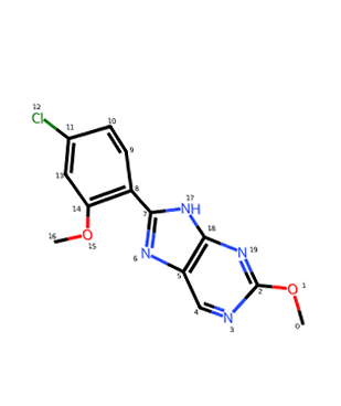 COc1ncc2nc(-c3ccc(Cl)cc3OC)[nH]c2n1